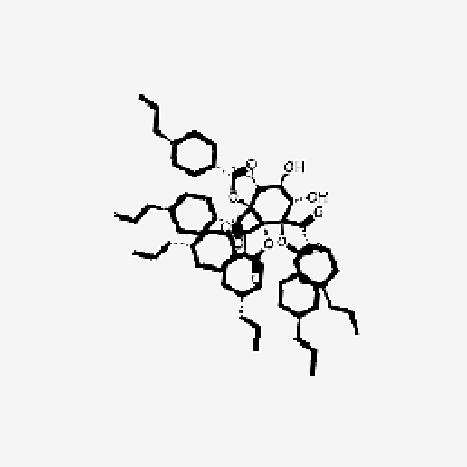 CCC[C@H]1CC[C@H](C(=O)O[C@@]2(C(=O)[C@H]3CC[C@H](CCC)CC3)[C@@](OC(=O)[C@H]3CC[C@H](CCC)CC3)(C(=O)[C@H]3CC[C@H](CCC)CC3)[C@@H](O)[C@H](O)[C@@H](O)[C@@]2(OC(=O)[C@H]2CC[C@H](CCC)CC2)C(=O)[C@H]2CC[C@H](CCC)CC2)CC1